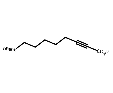 CCCCCCCCCCC#CC(=O)O